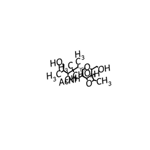 CC(=O)NC1C2OC(C)[C@H]2C(CO)O[C@H]1C(C)C(C)(C=O)C(O)C(C)CO